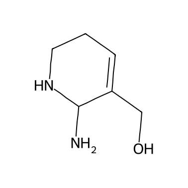 NC1NCCC=C1CO